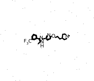 Cc1[nH]c(-c2ccc(OCCCC3CCN(C)CC3)nc2)nc1-c1cccc(C(F)(F)F)c1